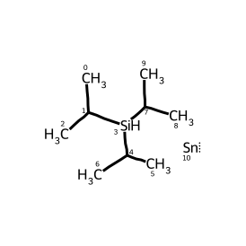 CC(C)[SiH](C(C)C)C(C)C.[Sn]